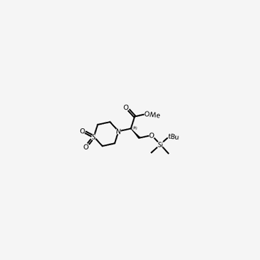 COC(=O)[C@@H](CO[Si](C)(C)C(C)(C)C)N1CCS(=O)(=O)CC1